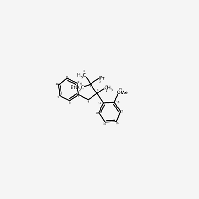 CCOC(=O)C(C)(C(C)C)C(C)(Cc1ccccc1)c1ccccc1OC